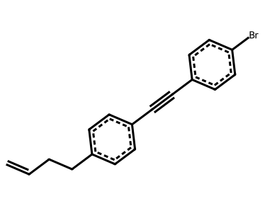 C=CCCc1ccc(C#Cc2ccc(Br)cc2)cc1